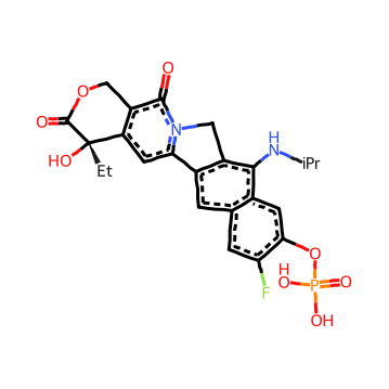 CC[C@@]1(O)C(=O)OCc2c1cc1n(c2=O)Cc2c-1cc1cc(F)c(OP(=O)(O)O)cc1c2NC(C)C